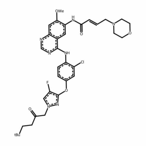 COc1cc2ncnc(Nc3ccc(Oc4nn(CC(=O)CCC(C)(C)C)cc4F)cc3Cl)c2cc1NC(=O)/C=C/CN1CCOCC1